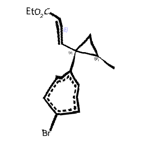 CCOC(=O)/C=C/[C@]1(c2ccc(Br)cc2)C[C@H]1C